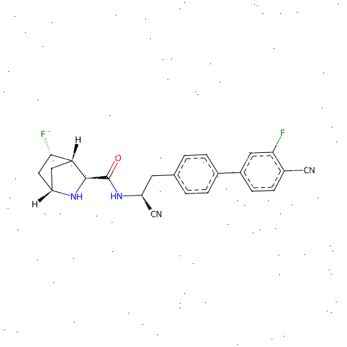 N#Cc1ccc(-c2ccc(C[C@@H](C#N)NC(=O)[C@H]3N[C@H]4C[C@@H]3[C@@H](F)C4)cc2)cc1F